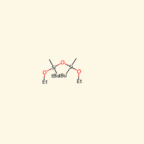 CCO[Si](C)(O[Si](C)(OCC)C(C)(C)C)C(C)(C)C